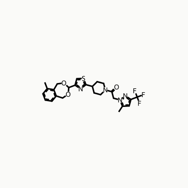 Cc1cccc2c1COC(c1csc(C3CCN(C(=O)Cn4nc(C(F)(F)F)cc4C)CC3)n1)OC2